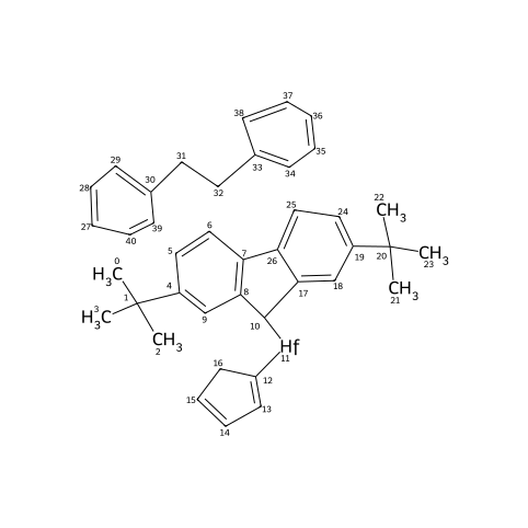 CC(C)(C)c1ccc2c(c1)[CH]([Hf][C]1=CC=CC1)c1cc(C(C)(C)C)ccc1-2.c1ccc(CCc2ccccc2)cc1